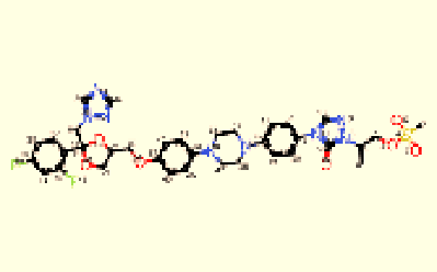 CC(COS(C)(=O)=O)n1ncn(-c2ccc(N3CCN(c4ccc(OCC5COC(Cn6cncn6)(c6ccc(F)cc6F)O5)cc4)CC3)cc2)c1=O